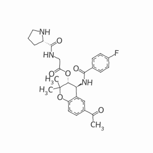 CC(=O)c1ccc2c(c1)[C@H](NC(=O)c1ccc(F)cc1)[C@@H](OC(=O)CNC(=O)[C@@H]1CCCN1)C(C)(C)O2